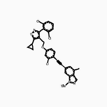 Cc1cc(C#Cc2ccc(OCc3c(-c4c(Cl)cccc4Cl)noc3C3CC3)cc2Cl)cc2c1cnn2C(C)(C)C